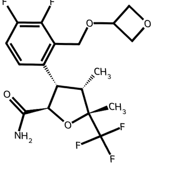 C[C@H]1[C@@H](c2ccc(F)c(F)c2COC2COC2)[C@H](C(N)=O)O[C@@]1(C)C(F)(F)F